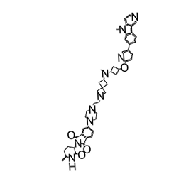 C=C1CCC(N2C(=O)c3ccc(N4CCN(CCN5CC6(CC(N(C)[C@H]7C[C@H](Oc8ccc(-c9ccc%10c%11cnccc%11n(C)c%10c9)cn8)C7)C6)C5)CC4)cc3C2=O)C(=O)N1